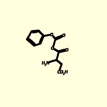 NC(CC(=O)O)C(=O)OC(=O)Oc1ccccc1